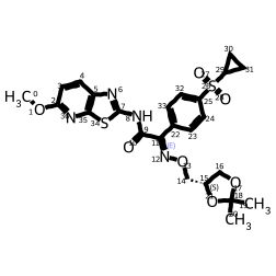 COc1ccc2nc(NC(=O)/C(=N/OC[C@@H]3COC(C)(C)O3)c3ccc(S(=O)(=O)C4CC4)cc3)sc2n1